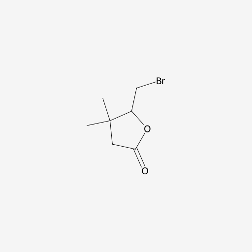 CC1(C)CC(=O)OC1CBr